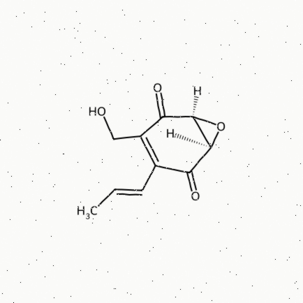 C/C=C/C1=C(CO)C(=O)[C@H]2O[C@H]2C1=O